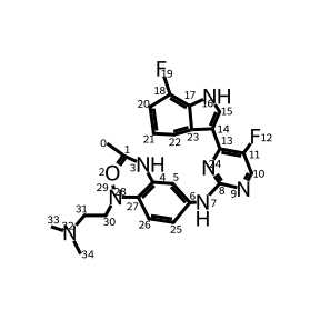 CC(=O)Nc1cc(Nc2ncc(F)c(-c3c[nH]c4c(F)cccc34)n2)ccc1N(C)CCN(C)C